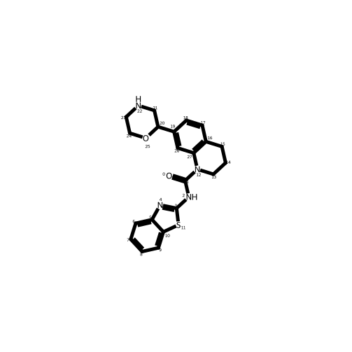 O=C(Nc1nc2ccccc2s1)N1CCCc2ccc(C3CN[CH]CO3)cc21